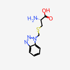 N[C@@H](CSCn1nnc2ccccc21)C(=O)O